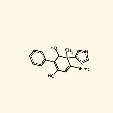 CCCCCC1=CC(O)=C(c2ccccc2)C(O)C1(C)c1cncs1